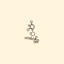 Cn1c(=O)ccn([C@H]2C[C@H](OP(=O)(O)O)[C@@H](CO)O2)c1=O